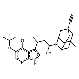 CC(C)Oc1cnc2[nH]cc(C(C)CC(O)N3C4CC5(C)CC3CC(C#N)(C4)C5)c2c1Cl